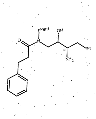 CCCCCN(CC(O)[C@@H](N)CC(C)C)C(=O)CCc1ccccc1